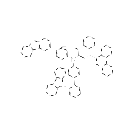 C=C(/C(=C\Cc1cc2ccccc2c2ccccc12)N(c1ccc(-c2ccc3sc4ccccc4c3c2)cc1)c1ccc(-c2ccccc2-n2c3ccccc3c3ccccc32)cc1)c1ccccc1